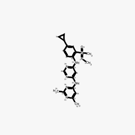 CN=S(C)(=O)c1cc(C2CC2)ccc1Nc1cc(Nc2cc(C)nc(C)n2)ncn1